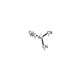 N#[C][Au]([C]#N)[C]#N.[Cu]